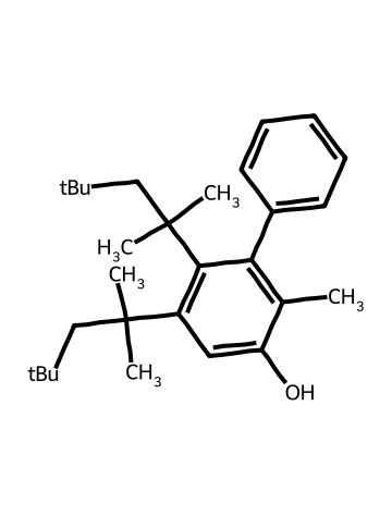 Cc1c(O)cc(C(C)(C)CC(C)(C)C)c(C(C)(C)CC(C)(C)C)c1-c1ccccc1